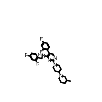 CC1CCCN(C2CCN(c3ncc(-c4ccc(F)cc4F)c(NCc4ccc(F)cc4F)n3)CC2)C1